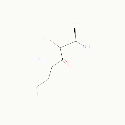 N[C@H](C(=O)O)C(S)C(=O)[C@@H](N)CCC(=O)O